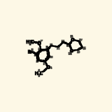 COc1cc(Br)c(OC)c(CCCC2OCCCO2)c1